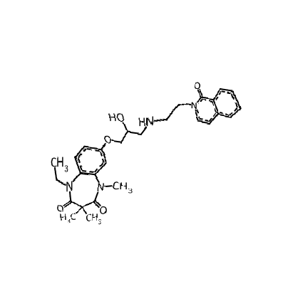 CCN1C(=O)C(C)(C)C(=O)N(C)c2cc(OCC(O)CNCCn3ccc4ccccc4c3=O)ccc21